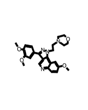 COc1ccc2ncc3c(-c4ccc(OC)c(OC)c4)nn(CCN4CCOCC4)c3c2c1